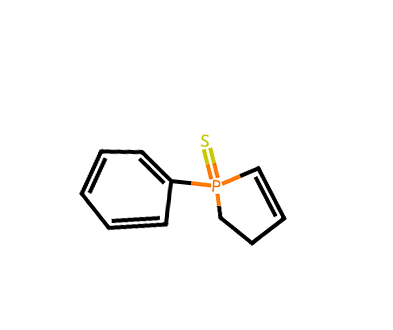 S=P1(c2ccccc2)C=CCC1